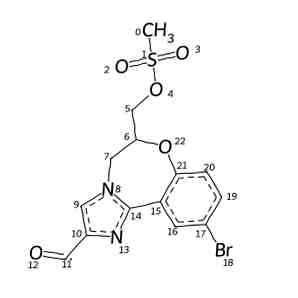 CS(=O)(=O)OCC1Cn2cc([C]=O)nc2-c2cc(Br)ccc2O1